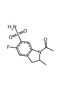 CC(=O)N1c2cc(S(N)(=O)=O)c(F)cc2CC1C